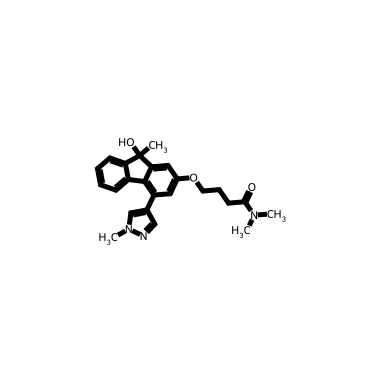 CN(C)C(=O)CCCOc1cc(-c2cnn(C)c2)c2c(c1)C(C)(O)c1ccccc1-2